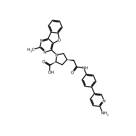 Cc1nc(N2C[C@@H](CC(=O)Nc3ccc(-c4ccc(N)nc4)cc3)C[C@H]2C(=O)O)c2oc3ccccc3c2n1